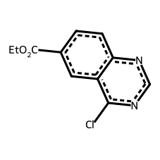 CCOC(=O)c1ccc2ncnc(Cl)c2c1